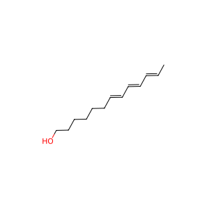 CC=CC=CC=CCCCCCCO